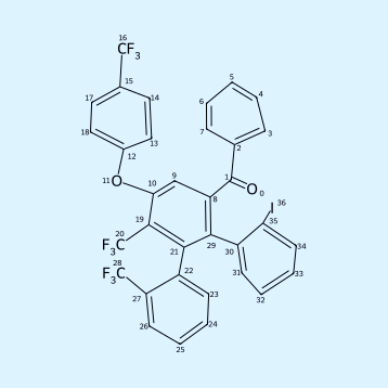 O=C(c1ccccc1)c1cc(Oc2ccc(C(F)(F)F)cc2)c(C(F)(F)F)c(-c2ccccc2C(F)(F)F)c1-c1ccccc1I